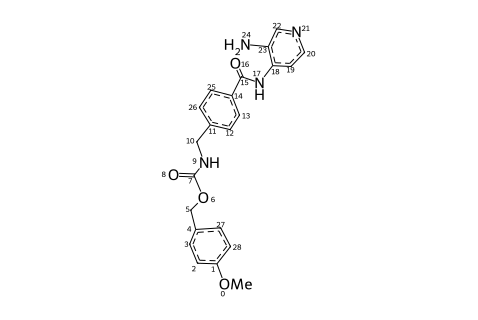 COc1ccc(COC(=O)NCc2ccc(C(=O)Nc3ccncc3N)cc2)cc1